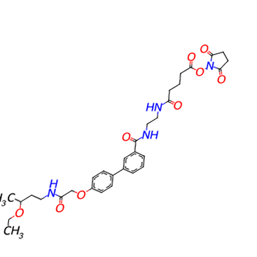 CCOC(C)CCNC(=O)COc1ccc(-c2cccc(C(=O)NCCNC(=O)CCCC(=O)ON3C(=O)CCC3=O)c2)cc1